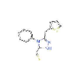 S=CC1NN=C(Cc2cccs2)N1c1ccccc1